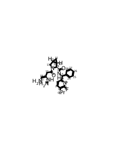 CC(C)c1ccc([C@@H](NC(=O)[C@@H]2[C@H]3C[C@H]3CN2C(=O)C/C(=C/N)NN)c2ccccc2)nc1F